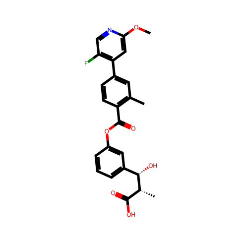 COc1cc(-c2ccc(C(=O)Oc3cccc([C@H](O)[C@H](C)C(=O)O)c3)c(C)c2)c(F)cn1